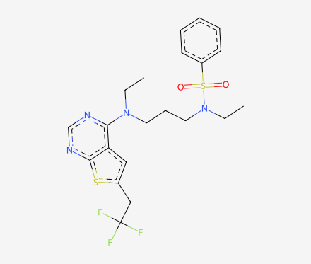 CCN(CCCN(CC)S(=O)(=O)c1ccccc1)c1ncnc2sc(CC(F)(F)F)cc12